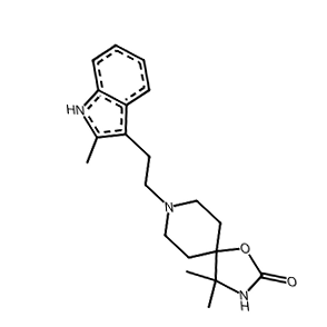 Cc1[nH]c2ccccc2c1CCN1CCC2(CC1)OC(=O)NC2(C)C